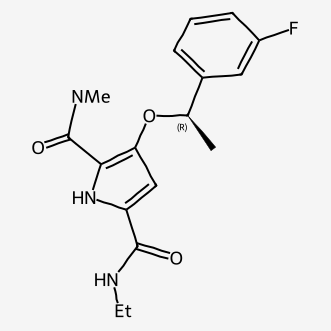 CCNC(=O)c1cc(O[C@H](C)c2cccc(F)c2)c(C(=O)NC)[nH]1